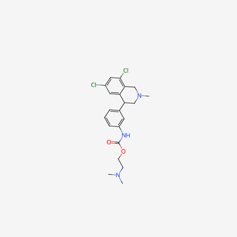 CN(C)CCOC(=O)Nc1cccc(C2CN(C)Cc3c(Cl)cc(Cl)cc32)c1